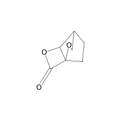 O=C1OC2C3CCC12OC3